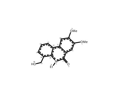 CCn1c(=O)c2cc(OC)c(OC)cc2c2cccc(CO)c21